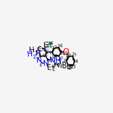 CCCCC(CC)Nc1ncnc(N)c1/C(=C(\C)CC)c1ccc(Oc2ccccc2)cc1F